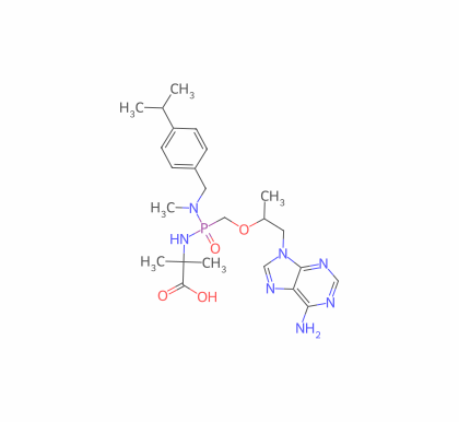 CC(Cn1cnc2c(N)ncnc21)OCP(=O)(NC(C)(C)C(=O)O)N(C)Cc1ccc(C(C)C)cc1